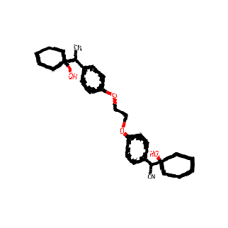 N#CC(c1ccc(OCCOc2ccc(C(C#N)C3(O)CCCCC3)cc2)cc1)C1(O)CCCCC1